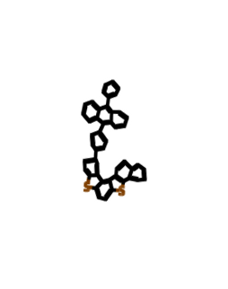 c1ccc(-c2c3ccccc3c(-c3ccc(-c4ccc5sc6ccc7sc8c9ccccc9ccc8c7c6c5c4)cc3)c3ccccc23)cc1